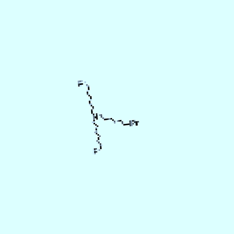 CC(C)CCCCCCN(CCCCCCC(C)C)CCCCCCC(C)C